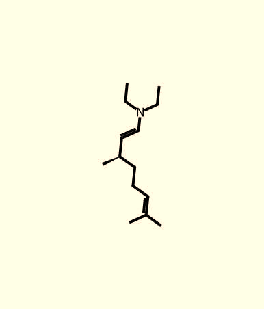 CCN(/C=C/[C@H](C)CCC=C(C)C)CC